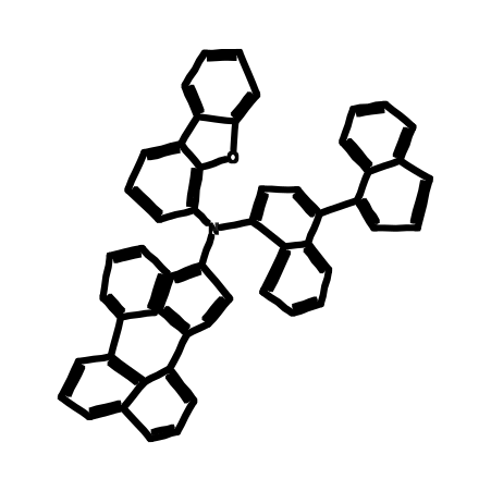 c1ccc(-c2cccc3cccc(-c4ccc(N(c5ccc(-c6cccc7ccccc67)c6ccccc56)c5cccc6c5oc5ccccc56)cc4)c23)cc1